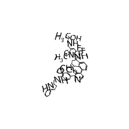 COc1cc(-c2nccc(-c3cccc4c3CCC[C@H]4Nc3nc(OC)c(CNCC(C)O)cc3C(F)(F)F)c2Cl)ccc1CNC[C@H]1CCC(=O)N1